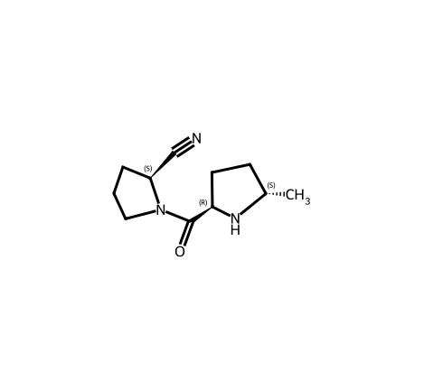 C[C@H]1CC[C@H](C(=O)N2CCC[C@H]2C#N)N1